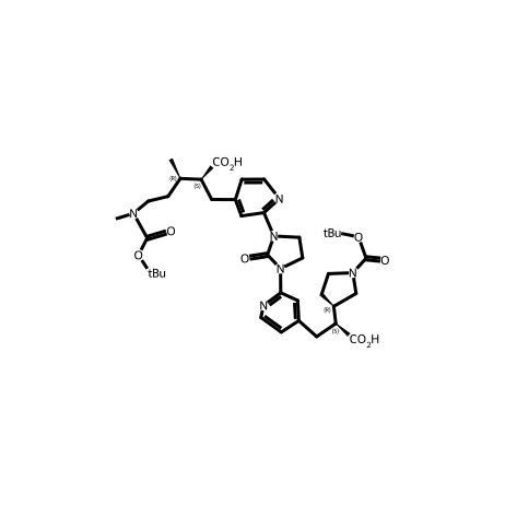 C[C@H](CCN(C)C(=O)OC(C)(C)C)[C@H](Cc1ccnc(N2CCN(c3cc(C[C@H](C(=O)O)[C@H]4CCN(C(=O)OC(C)(C)C)C4)ccn3)C2=O)c1)C(=O)O